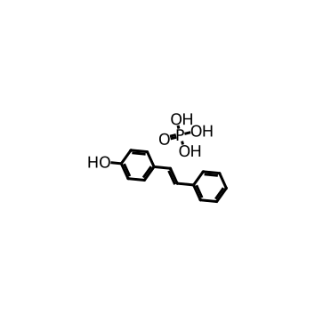 O=P(O)(O)O.Oc1ccc(C=Cc2ccccc2)cc1